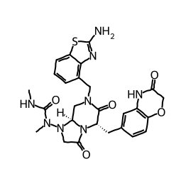 CNC(=O)N(C)N1CC(=O)N2[C@@H](Cc3ccc4c(c3)NC(=O)CO4)C(=O)N(Cc3cccc4sc(N)nc34)C[C@@H]21